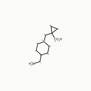 NCC1CCN(CC2(C(=O)O)CC2)CC1